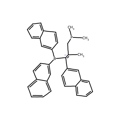 C/C(CP(C)C)=C(/B(c1ccc2ccccc2c1)c1ccc2ccccc2c1)c1ccc2ccccc2c1